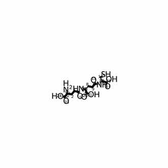 N[C@@H](CCC(=O)N[C@@H](CCC(=O)N[C@@H](CS)C(=O)O)C(=O)O)C(=O)O